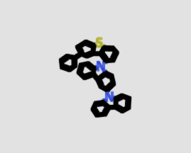 c1ccc(-c2ccc3sc4cccc(-n5c6ccccc6c6cc(-n7c8ccccc8c8ccccc87)ccc65)c4c3c2)cc1